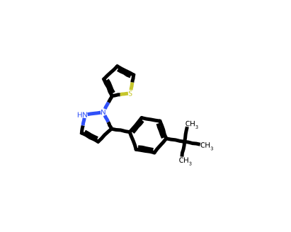 CC(C)(C)c1ccc(C2C=CNN2c2cccs2)cc1